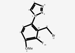 COc1ccc(-n2ccnn2)c(CBr)c1F